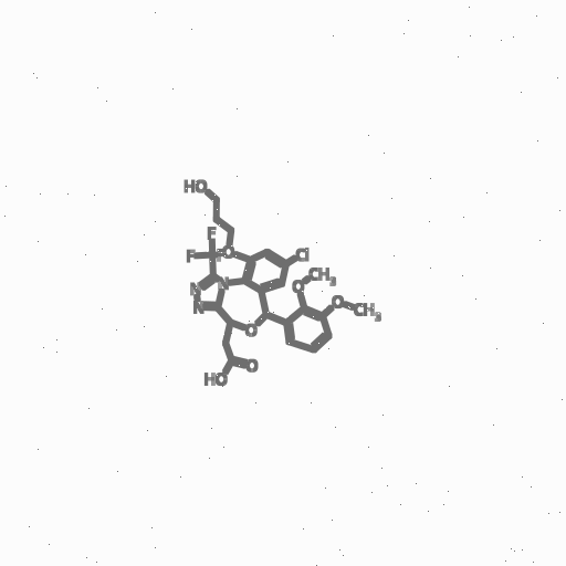 COc1cccc(C2OC(CC(=O)O)c3nnc(C(F)(F)F)n3-c3c(OCCCO)cc(Cl)cc32)c1OC